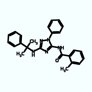 Cc1ccccc1C(=O)Nc1nc(NC(C)(C)c2ccccc2)nn1-c1ccccc1